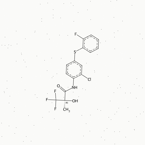 C[C@@](O)(C(=O)Nc1ccc(Sc2ccccc2F)cc1Cl)C(F)(F)F